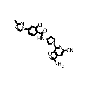 Cc1ncn(-c2ccc(C(=O)N[C@@H]3CCN(c4nc(C#N)cc5c(N)noc45)C3)c(Cl)c2)n1